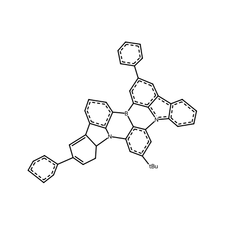 CC(C)(C)c1cc2c3c(c1)-n1c4ccccc4c4cc(-c5ccccc5)cc(c41)B3c1cccc3c1N2C1CC=C(c2ccccc2)C=C31